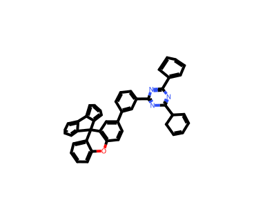 C1=CCC(c2nc(-c3ccccc3)nc(-c3cccc(-c4ccc5c(c4)C4(c6ccccc6O5)c5ccccc5-c5ccccc54)c3)n2)C=C1